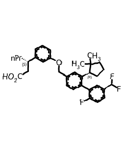 CCC[C@@H](CC(=O)O)c1cccc(OCc2ccc(-c3cc(C(F)F)ccc3F)c([C@@H]3CCCC3(C)C)c2)c1